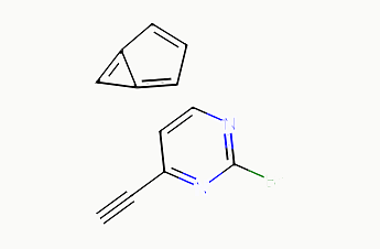 C#Cc1ccnc(Br)n1.c1cc2cc-2c1